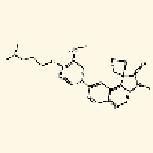 CNc1cc(-c2ccc3ncc4c(c3c2)C2(CCC2)C(=O)N4C)cnc1OCCCN(C)C